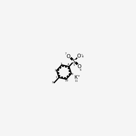 Cc1ccc(S(=O)(=O)[O-])cc1.[K+]